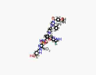 [2H]C([2H])([2H])Oc1ccc(C(=O)N2CCN(C3CC4(CCN(c5ccc(C(=O)NS(=O)(=O)c6cnc(NCC7CCC(C)(O)CC7)c([N+](=O)[O-])c6)c(Oc6cc7c(F)c[nH]c7nc6OC)c5)CC4)C3)[C@H](c3ccccc3C(C)C)C2)cc1